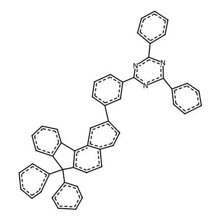 c1ccc(-c2nc(-c3ccccc3)nc(-c3cccc(-c4ccc5ccc6c(c5c4)-c4ccccc4C6(c4ccccc4)c4ccccc4)c3)n2)cc1